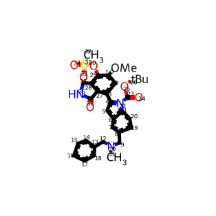 COc1cc(-c2cc3cc(CN(C)Cc4ccccc4)ccc3n2C(=O)OC(C)(C)C)c2c(c1OS(C)(=O)=O)CNC2=O